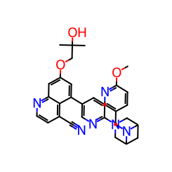 COc1ccc(CN2C3CC2CN(c2ccc(-c4cc(OCC(C)(C)O)cc5nccc(C#N)c45)cn2)C3)cn1